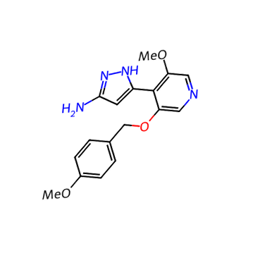 COc1ccc(COc2cncc(OC)c2-c2cc(N)n[nH]2)cc1